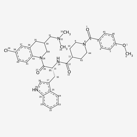 COc1ccc(C(=O)N2CCC(C(=O)N[C@H](Cc3c[nH]c4ccccc34)C(=O)N3CC(CN(C)C)Cc4cc(Cl)ccc43)CC2)cc1